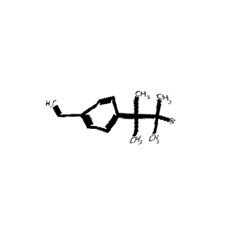 C=Cc1ccc(C(C)(C)C(C)(C)Br)cc1